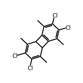 CC1=C(Cl)C(Cl)=C(C)C2c3c(C)c(Cl)c(Cl)c(C)c3C12